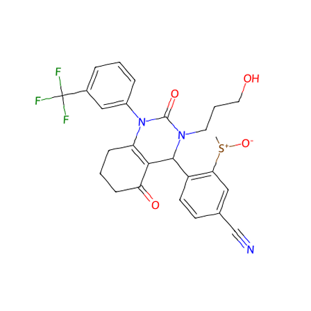 C[S+]([O-])c1cc(C#N)ccc1C1C2=C(CCCC2=O)N(c2cccc(C(F)(F)F)c2)C(=O)N1CCCO